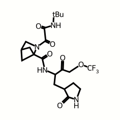 CC(C)(C)NC(=O)C(=O)N1CC2CC1(C(=O)NC(CC1CCNC1=O)C(=O)COC(F)(F)F)C2